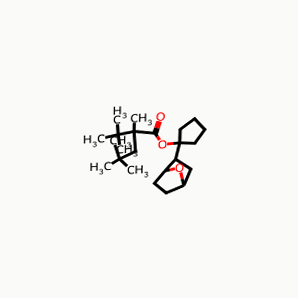 CC(C)(C)CC(C)(C(=O)OC1(C2CC3CCC2O3)CCCC1)C(C)(C)C